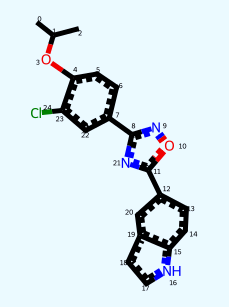 CC(C)Oc1ccc(-c2noc(-c3ccc4[nH]ccc4c3)n2)cc1Cl